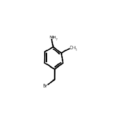 Cc1cc(CBr)ccc1N